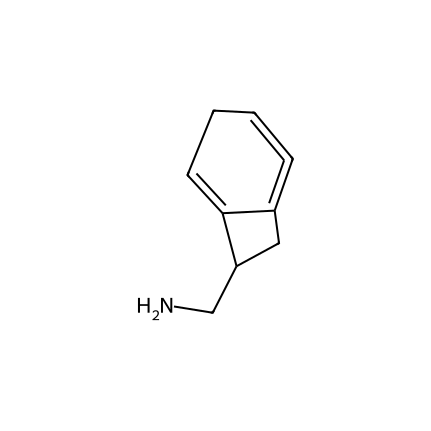 NCC1CC2=C=CCC=C21